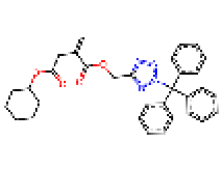 C=C(CC(=O)OC1CCCCC1)C(=O)OCc1nnn(C(c2ccccc2)(c2ccccc2)c2ccccc2)n1